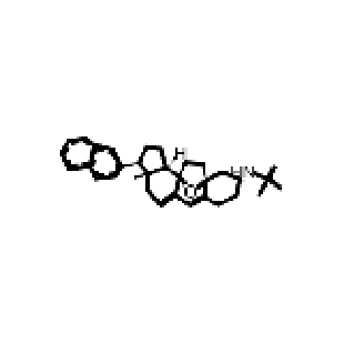 CC(C)(C)N[C@H]1CCC2=CC3=CC[C@]4(C)[C@@H](c5ccc6ccccc6c5)CC[C@H]4[C@@]34CC[C@]2(C1)O4